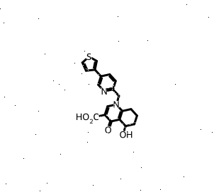 O=C(O)c1cn(Cc2ccc(-c3ccsc3)cn2)c2c(c1=O)C(O)CCC2